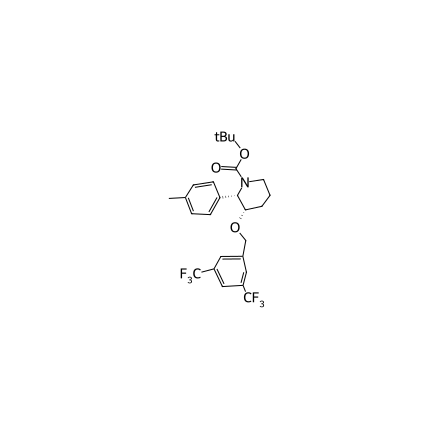 Cc1ccc([C@H]2[C@@H](OCc3cc(C(F)(F)F)cc(C(F)(F)F)c3)CCCN2C(=O)OC(C)(C)C)cc1